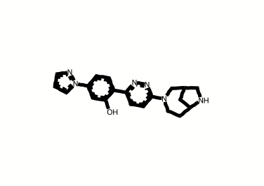 Oc1cc(-n2cccn2)ccc1-c1ccc(N2CCC3CC(CN3)C2)nn1